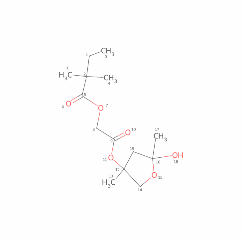 CCC(C)(C)C(=O)OCC(=O)OC1(C)COC(C)(O)C1